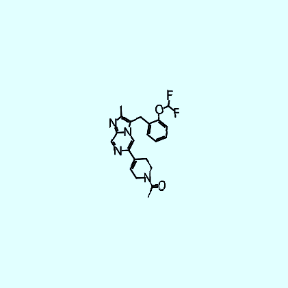 CC(=O)N1CC=C(c2cn3c(Cc4ccccc4OC(F)F)c(C)nc3cn2)CC1